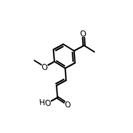 COc1ccc(C(C)=O)cc1C=CC(=O)O